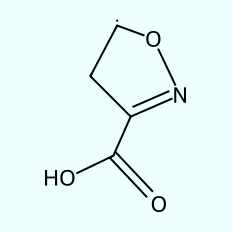 O=C(O)C1=NO[CH]C1